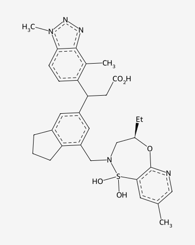 CC[C@@H]1CN(Cc2cc(C(CC(=O)O)c3ccc4c(nnn4C)c3C)cc3c2CCC3)S(O)(O)c2cc(C)cnc2O1